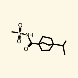 CC(C)C12CCC(C(=O)NS(C)(=O)=O)(CC1)CC2